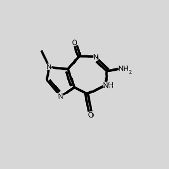 Cn1cnc2c(=O)[nH]c(N)nc(=O)c21